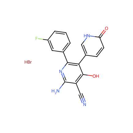 Br.N#Cc1c(N)nc(-c2cccc(F)c2)c(-c2ccc(=O)[nH]c2)c1O